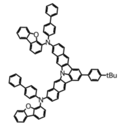 CC(C)(C)c1ccc(-c2cc3c4cc5ccc(N(c6ccc(-c7ccccc7)cc6)c6cccc7c6oc6ccccc67)cc5cc4n4c5cc6cc(N(c7ccc(-c8ccccc8)cc7)c7cccc8c7oc7ccccc78)ccc6cc5c(c2)c34)cc1